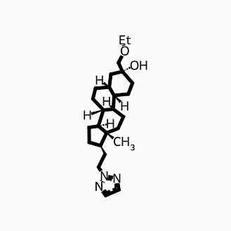 CCOC[C@@]1(O)CC[C@H]2[C@H](CC[C@@H]3[C@@H]2CC[C@]2(C)[C@@H](CCn4nccn4)CC[C@@H]32)C1